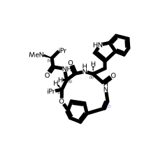 CN[C@H](C(=O)N[C@@H]1C(=O)N[C@@H](Cc2c[nH]c3ccccc23)C(=O)N/C=C\c2ccc(cc2)O[C@H]1C(C)C)C(C)C